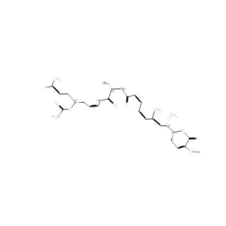 COC1=CC[C@@H]([C@@H](C)/C=C(C)/C=C\C=C/C(=O)N[C@H](C(=O)N/C=C\C[C@H](C/C=C(\C)F)OC(N)=O)C(C)(C)C)OC1=O